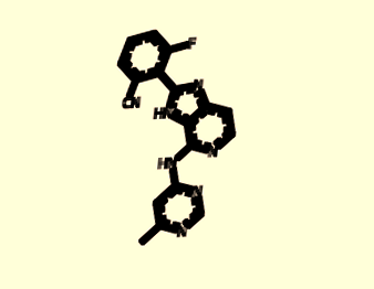 Cc1cc(Nc2nccc3nc(-c4c(F)cccc4C#N)[nH]c23)ncn1